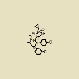 CC[C@@H](CN(C)S(=O)(=O)C1CC1)N1C(=O)C(C)C[C@H](c2cccc(Cl)c2)[C@H]1c1ccc(Cl)cc1